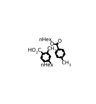 CCCCCCOC(=O)c1ccc(C)cc1.CCCCCCc1ccc(C(=O)O)c(C)c1